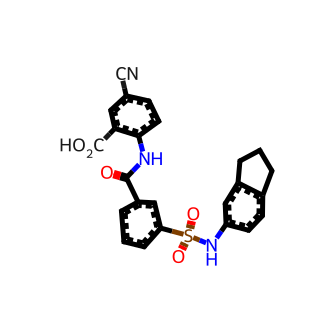 N#Cc1ccc(NC(=O)c2cccc(S(=O)(=O)Nc3ccc4c(c3)CCC4)c2)c(C(=O)O)c1